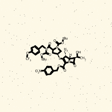 CC(O)[C@H]1C(=O)N2C(C(=O)OCc3ccc([N+](=O)[O-])cc3)=C(S[C@H]3CC(C(=O)N(Cc4ccc(OC(F)(F)F)cc4)C(=O)OC(C)(C)C)N(C(=O)OC(C)(C)C)C3)[C@H](C)[C@H]12